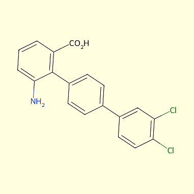 Nc1cccc(C(=O)O)c1-c1ccc(-c2ccc(Cl)c(Cl)c2)cc1